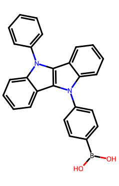 OB(O)c1ccc(-n2c3ccccc3c3c2c2ccccc2n3-c2ccccc2)cc1